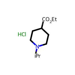 CCOC(=O)C1CCN(C(C)C)CC1.Cl